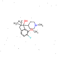 COc1c(F)ccc2c1C(O)(C1CCN(C)CC1)C(C)(C)C2